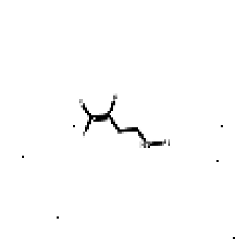 CCNCCC(F)=C(F)F